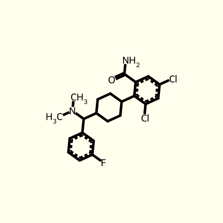 CN(C)C(c1cccc(F)c1)C1CCC(c2c(Cl)cc(Cl)cc2C(N)=O)CC1